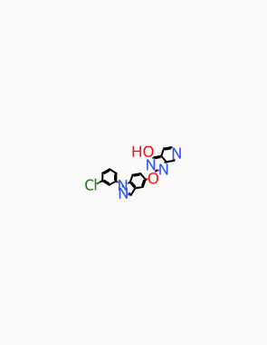 Oc1nc(Oc2ccc3c(cnn3-c3cccc(Cl)c3)c2)nc2cnccc12